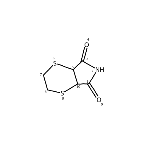 O=C1NC(=O)C2SCCSC12